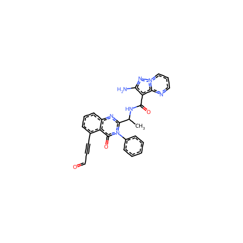 CC(NC(=O)c1c(N)nn2cccnc12)c1nc2cccc(C#CC=O)c2c(=O)n1-c1ccccc1